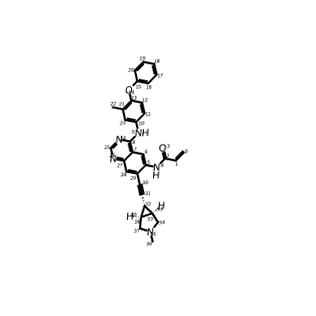 C=CC(=O)Nc1cc2c(Nc3ccc(Oc4ccccc4)c(C)c3)ncnc2cc1C#C[C@@H]1[C@H]2CN(C)C[C@@H]12